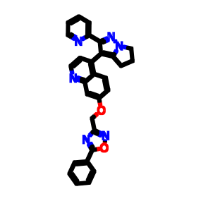 c1ccc(-c2nc(COc3ccc4c(-c5c(-c6ccccn6)nn6c5CCC6)ccnc4c3)no2)cc1